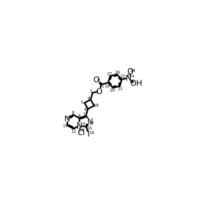 O=C(OCC1CC(C2=C3C=NC=C[N+]3(Cl)C(I)=N2)C1)c1ccc([N+](=O)O)cc1